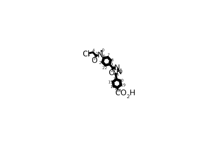 CN(C(=O)CCl)c1ccc(-c2nnc(-c3ccc(C(=O)O)cc3)o2)cc1